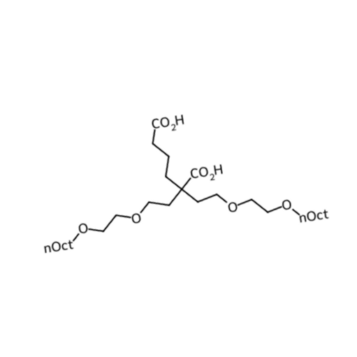 CCCCCCCCOCCOCCC(CCCC(=O)O)(CCOCCOCCCCCCCC)C(=O)O